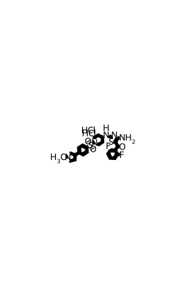 CN1CCC(c2ccc(S(=O)(=O)N3CCC(Nc4nc(N)c(C(=O)c5c(F)cccc5F)s4)CC3)cc2)C1.Cl.Cl